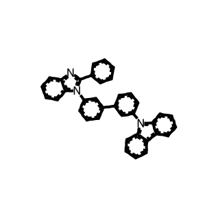 c1ccc(-c2nc3ccccc3n2-c2cccc(-c3cccc(-n4c5ccccc5c5ccccc54)c3)c2)cc1